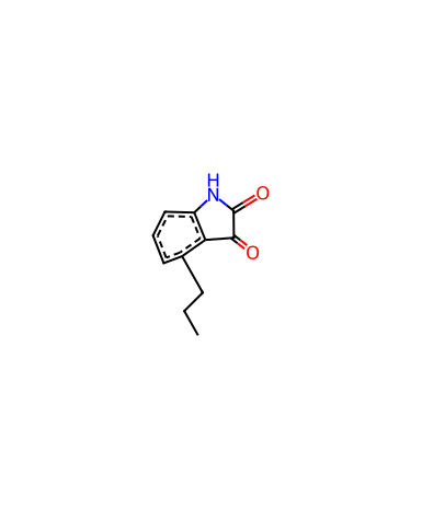 CCCc1cccc2c1C(=O)C(=O)N2